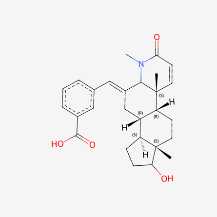 CN1C(=O)C=C[C@@]2(C)C1C(=Cc1cccc(C(=O)O)c1)C[C@@H]1[C@H]2CC[C@]2(C)C(O)CC[C@@H]12